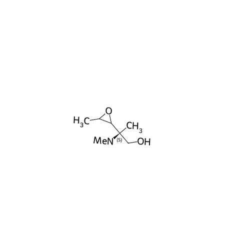 CN[C@@](C)(CO)C1OC1C